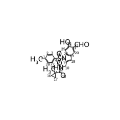 Cc1ccc(S(=O)(=O)n2c(CNC(=O)C3(C)CC3)cc3cc(C=O)c(O)cc32)cc1